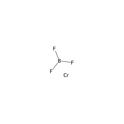 FB(F)F.[Cr]